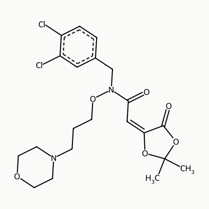 CC1(C)OC(=O)C(=CC(=O)N(Cc2ccc(Cl)c(Cl)c2)OCCCN2CCOCC2)O1